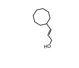 OCC=CC1CCCCCCC1